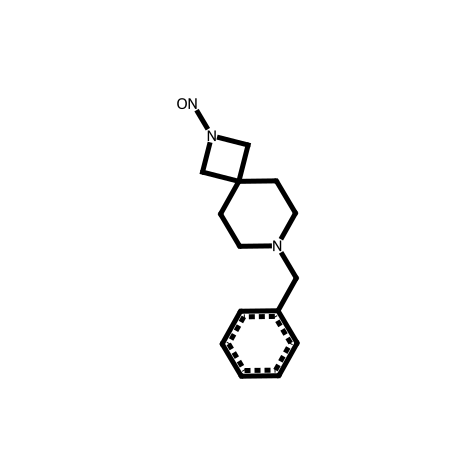 O=NN1CC2(CCN(Cc3ccccc3)CC2)C1